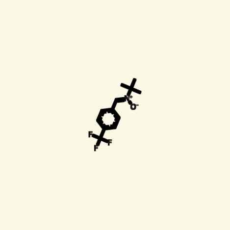 CC(C)(C)[N+]([O-])=Cc1ccc(C(F)(F)F)cc1